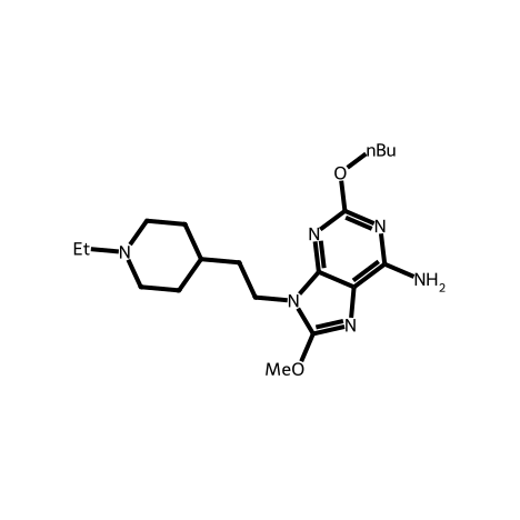 CCCCOc1nc(N)c2nc(OC)n(CCC3CCN(CC)CC3)c2n1